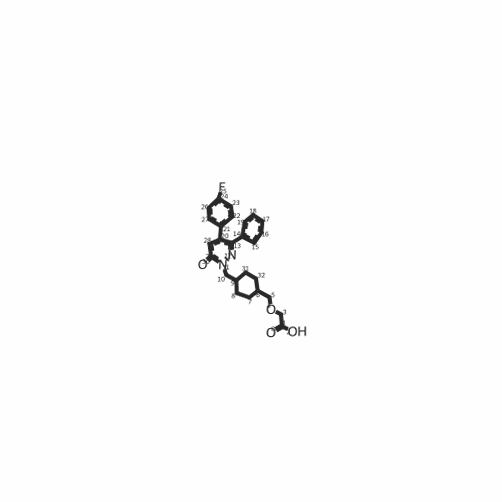 O=C(O)COCC1CCC(Cn2nc(-c3ccccc3)c(-c3ccc(F)cc3)cc2=O)CC1